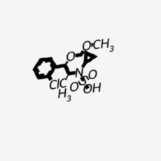 COCO[C@H](c1ccccc1Cl)[C@@H](C)N(C1CC1)S(=O)(=O)O